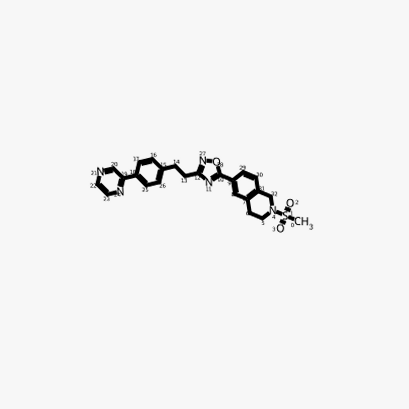 CS(=O)(=O)N1CCc2cc(-c3nc(CCc4ccc(-c5cnccn5)cc4)no3)ccc2C1